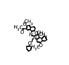 COc1cc2ccc3c(c2cc1C(C)=O)N=CC1(O3)N(CCOc2ccccc2)c2cc(OC)c3ccccc3c2C1(C)C